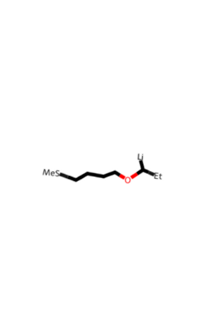 [Li][CH](CC)OCCCCSC